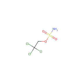 NS(=O)(=O)OCC(Cl)(Cl)Cl